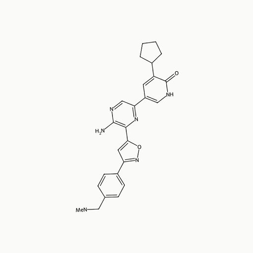 CNCc1ccc(-c2cc(-c3nc(-c4c[nH]c(=O)c(C5CCCC5)c4)cnc3N)on2)cc1